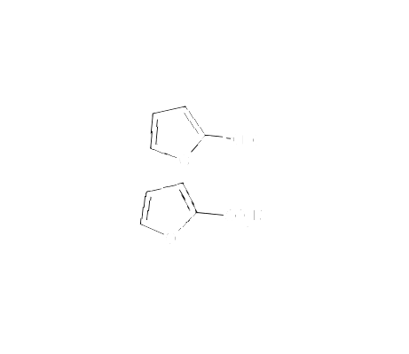 O=C(O)c1ccco1.O=Cc1ccco1